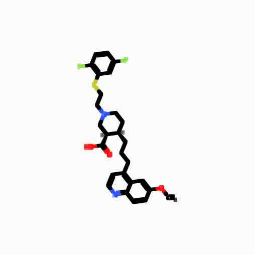 COc1ccc2nccc(CCC[C@@H]3CCN(CCSc4cc(F)ccc4F)C[C@@H]3C(=O)O)c2c1